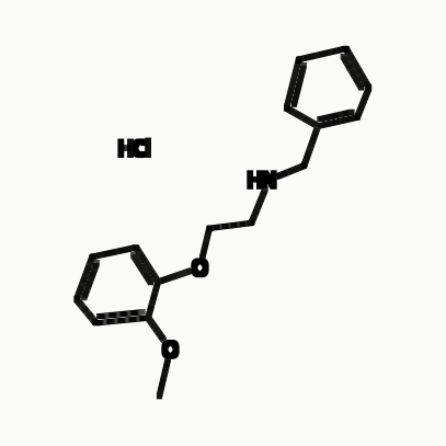 COc1ccccc1OCCNCc1ccccc1.Cl